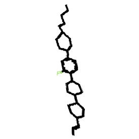 CC=CC1CCC(C2CCC(c3ccc(C4CCC(CCCCC)CC4)cc3F)CC2)CC1